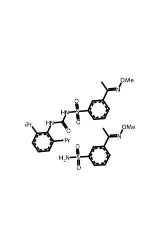 CO/N=C(\C)c1cccc(S(=O)(=O)NC(=O)Nc2c(C(C)C)cccc2C(C)C)c1.CO/N=C(\C)c1cccc(S(N)(=O)=O)c1